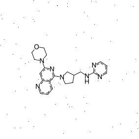 c1cnc(NCC2CCN(c3nc(N4CCOCC4)cc4ncccc34)C2)nc1